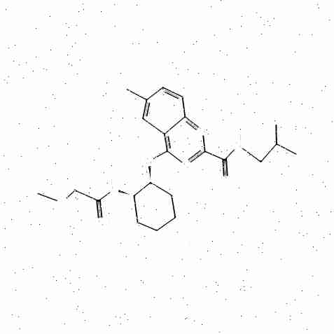 COCC(=N)N[C@@H]1CCCC[C@@H]1Nc1nc(C(=O)NCC(C)C)nc2ccc(C)cc12.Cl.Cl